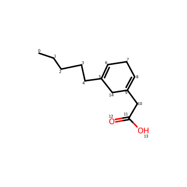 CCCCCC1=CCC=C(CC(=O)O)C1